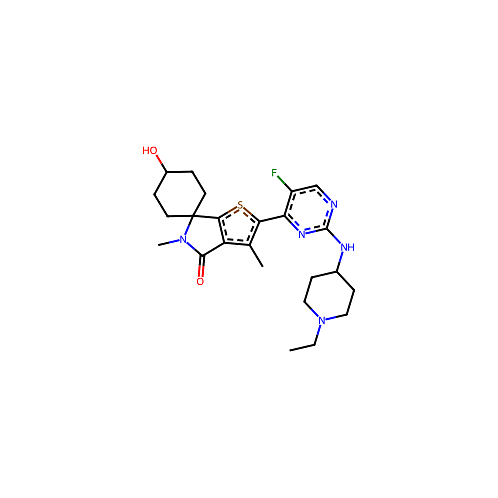 CCN1CCC(Nc2ncc(F)c(-c3sc4c(c3C)C(=O)N(C)C43CCC(O)CC3)n2)CC1